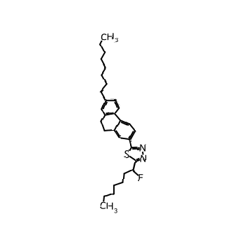 CCCCCCCCc1ccc2c(c1)CCc1cc(-c3nnc(C(F)CCCCCC)s3)ccc1-2